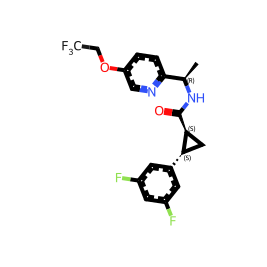 C[C@@H](NC(=O)[C@H]1C[C@@H]1c1cc(F)cc(F)c1)c1ccc(OCC(F)(F)F)cn1